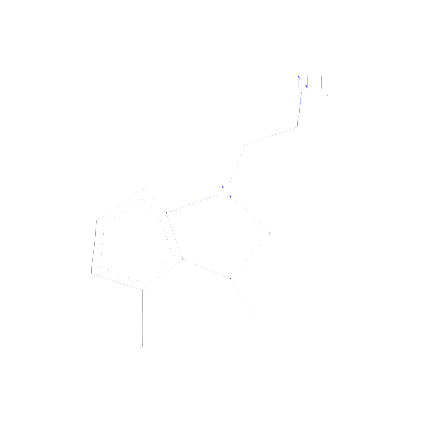 Cc1cccc2c1C(C)CN2CCN